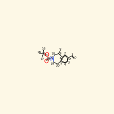 C=Cc1ccc2c(c1)C(C)CN(C(=O)OC(C)(C)C)CC2